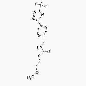 COCCCC(=O)NCc1ccc(-c2noc(C(F)(F)F)n2)cc1